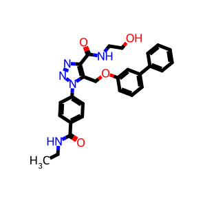 CCNC(=O)c1ccc(-n2nnc(C(=O)NCCO)c2COc2cccc(-c3ccccc3)c2)cc1